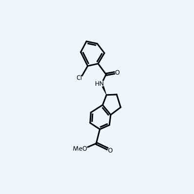 COC(=O)c1ccc2c(c1)CC[C@@H]2NC(=O)c1ccccc1Cl